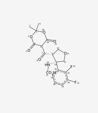 CC1(C)OC(=O)C(C(=O)[C@@H]2COC[C@@]2(NC(=O)O)c2cccc(F)c2F)C(=O)O1